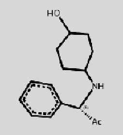 CC(=O)[C@@H](NC1CCC(O)CC1)c1ccccc1